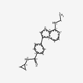 CCNc1nccn2c(-c3ccc(C(=O)NC4CC4)cc3)cnc12